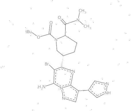 CN(C)C(=O)C1CC[C@H](c2nc3c(-c4cn[nH]c4)cnn3c(N)c2Br)CN1C(=O)OC(C)(C)C